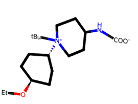 CCO[C@H]1CC[C@H]([N+]2(C(C)(C)C)CCC(NC(=O)[O-])CC2)CC1